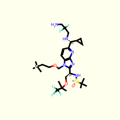 CC(C)(C)[S@@+]([O-])N[C@@H](COC(C)(C)C(F)(F)F)c1nc2nc([C@H](NCC(F)(F)CN)C3CC3)ccc2n1COCC[Si](C)(C)C